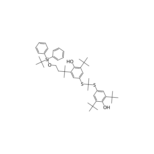 CC(C)(Sc1cc(C(C)(C)C)c(O)c(C(C)(C)C)c1)Sc1cc(C(C)(C)C)c(O)c(C(C)(C)CCO[Si](c2ccccc2)(c2ccccc2)C(C)(C)C)c1